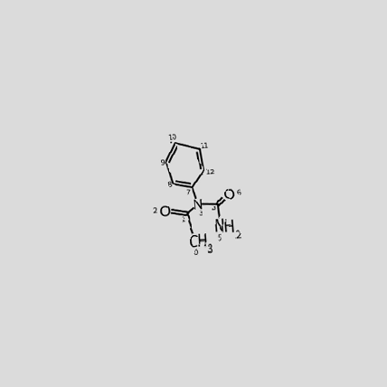 CC(=O)N(C(N)=O)c1cc[c]cc1